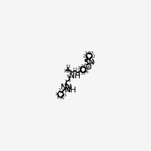 c1ccc(-c2nc(CCCNC(CCc3ccc(Oc4nc5ccccc5s4)cc3)C3CC3)n[nH]2)cc1